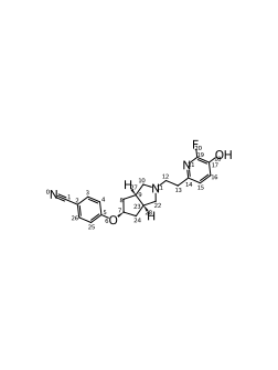 N#Cc1ccc(O[C@H]2C[C@@H]3CN(CCc4ccc(O)c(F)n4)C[C@@H]3C2)cc1